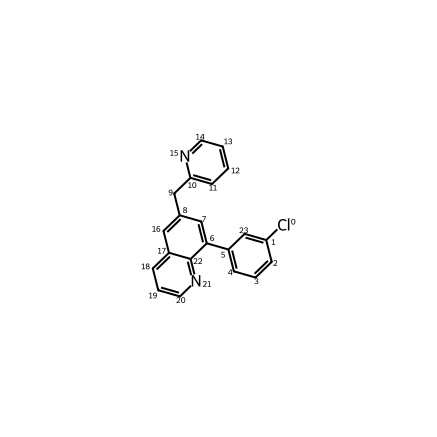 Clc1cccc(-c2cc(Cc3ccccn3)cc3cccnc23)c1